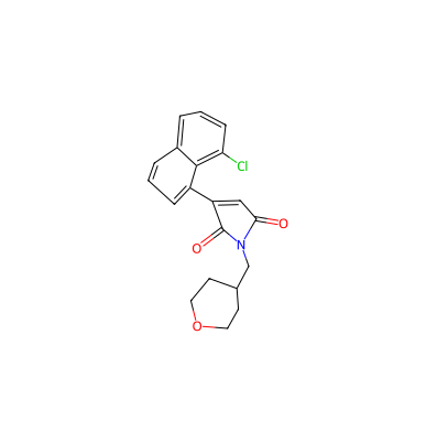 O=C1C=C(c2cccc3cccc(Cl)c23)C(=O)N1CC1CCOCC1